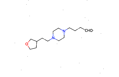 O=[C]CCCN1CCN(CCC2CCOC2)CC1